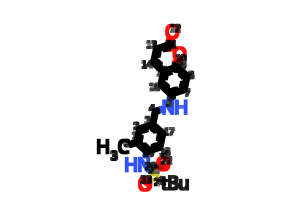 Cc1cc(CNc2ccc3oc(=O)ccc3c2)ccc1NS(=O)(=O)C(C)(C)C